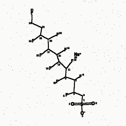 O=S(=O)([O-])CC(F)C(F)C(F)C(F)C(F)C(F)C(F)C(F)C(F)CCF.[Na+]